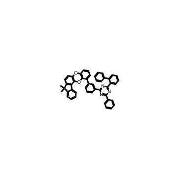 CC1(C)c2ccccc2-c2c1ccc1c2Oc2c(cccc2-c2cccc(-c3nc(-c4ccccc4)nc(-c4ccccc4-c4ccccc4)n3)c2)O1